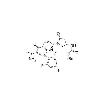 CC(C)(C)OC(=O)NC1CC(=O)N(c2ccc3c(=O)c(C(N)=O)cn(-c4c(F)cc(F)cc4F)c3n2)C1